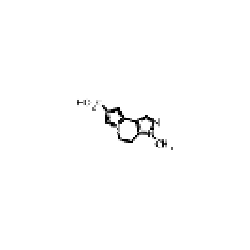 Cn1ncc2c1CCn1cc(C(=O)O)cc1-2